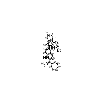 CCC(=O)NC(C(=O)N1CCN(C)CC1)C1(c2ccc(NC(=O)[C@@H](N)C3CCCCCC3)c(F)c2)CC1